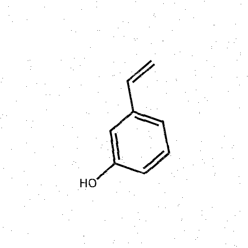 C=Cc1cccc(O)c1